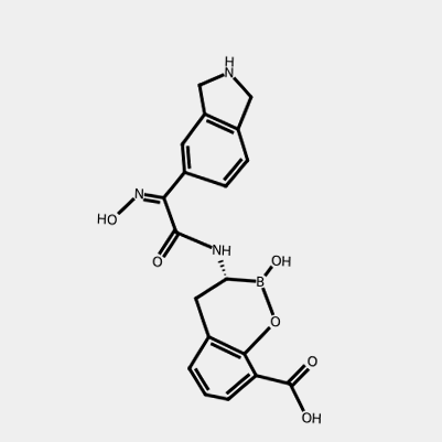 O=C(N[C@H]1Cc2cccc(C(=O)O)c2OB1O)/C(=N\O)c1ccc2c(c1)CNC2